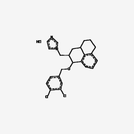 Cl.Clc1ccc(COC2c3cccc4c3C(CCC4)CC2Cn2ccnc2)cc1Cl